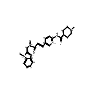 CN1CCC(C(=O)Nc2ccc(/C=C/C(=O)N(C)Cc3cc4ccccc4n3C)cn2)CC1